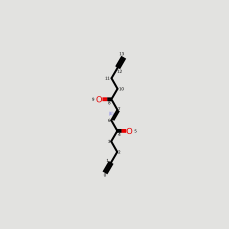 C#CCCC(=O)/C=C/C(=O)CCC#C